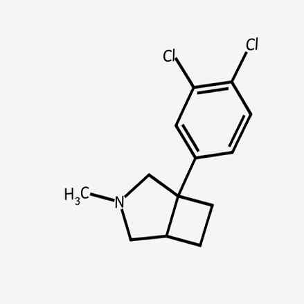 CN1CC2CCC2(c2ccc(Cl)c(Cl)c2)C1